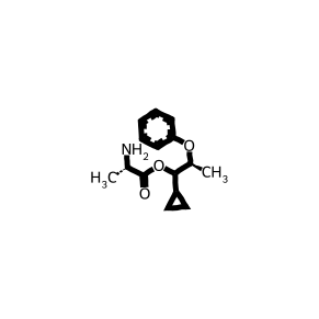 C[C@H](N)C(=O)OC(C1CC1)[C@H](C)Oc1ccccc1